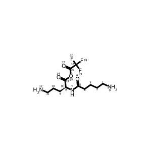 NCCCCC(=O)N[C@@H](CCCN)C(=O)OC(=O)C(F)(F)F